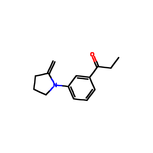 C=C1CCCN1c1cccc(C(=O)CC)c1